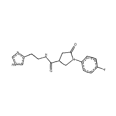 O=C(NCCc1c[nH]cn1)C1CC(=O)N(c2ccc(F)cc2)C1